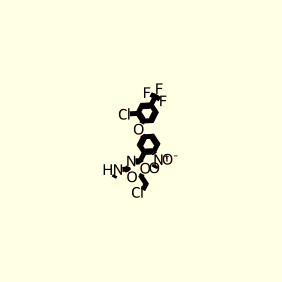 CNC(=O)N=C(OCCCl)c1cc(Oc2ccc(C(F)(F)F)cc2Cl)ccc1[N+](=O)[O-]